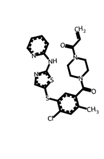 C=CC(=O)N1CCN(C(=O)c2cc(Sc3cnc(Nc4ccccn4)s3)c(Cl)cc2C)CC1